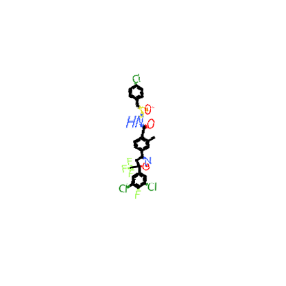 Cc1cc(C2=NOC(c3cc(Cl)c(F)c(Cl)c3)(C(F)(F)F)C2)ccc1C(=O)N[S+]([O-])Cc1ccc(Cl)cc1